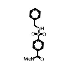 CNC(=O)c1ccc(S(=O)(=O)NCc2ccccc2)cc1